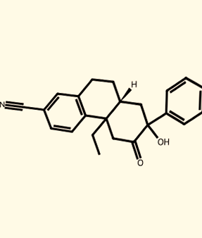 CCC12CC(=O)C(O)(c3ccccc3)C[C@H]1CCc1cc(C#N)ccc12